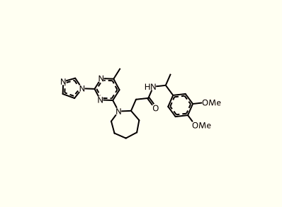 COc1ccc(C(C)NC(=O)CC2CCCCCN2c2cc(C)nc(-n3ccnc3)n2)cc1OC